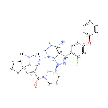 CN(C)CC1(/C=C(\C#N)C(=O)N2CCC[C@H](n3nc(-c4ccc(Oc5ccccc5)cc4F)c4c(N)ncnc43)C2)CCCC1